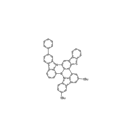 CC(C)(C)c1ccc2c(c1)c1cc(C(C)(C)C)cc3c1n2B1c2c(cc4c(sc5ccccc54)c2-3)-n2c3cc(-c4ccccc4)ccc3c3cccc1c32